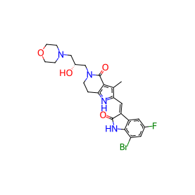 Cc1c(C=C2C(=O)Nc3c(Br)cc(F)cc32)[nH]c2c1C(=O)N(C[C@H](O)CN1CCOCC1)CC2